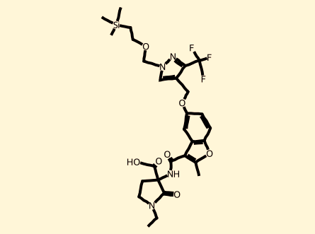 CCN1CCC(NC(=O)c2c(C)oc3ccc(OCc4cn(COCC[Si](C)(C)C)nc4C(F)(F)F)cc23)(C(=O)O)C1=O